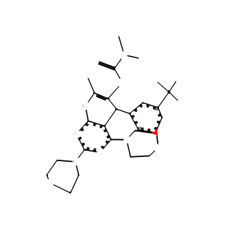 CC1=C(OC(=O)N(C)C)C(c2cccc(C(F)(F)F)c2)c2c(nc(N3CCOCC3)nc2N2CCOCC2)N1